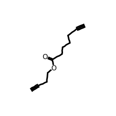 C#CCCCCC(=O)OCCC#C